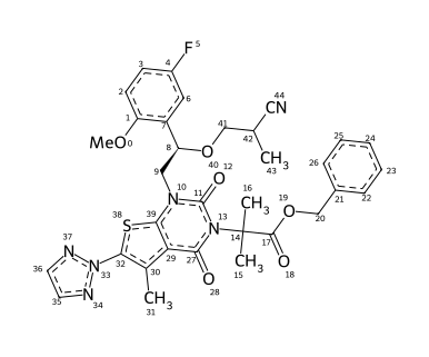 COc1ccc(F)cc1[C@H](Cn1c(=O)n(C(C)(C)C(=O)OCc2ccccc2)c(=O)c2c(C)c(-n3nccn3)sc21)OCC(C)C#N